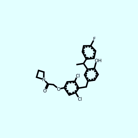 CC(c1ccc(F)cc1)c1cc(Cc2c(Cl)cc(OCC(=O)N3CCC3)cc2Cl)ccc1O